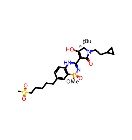 COP1(=O)N=C(C2=C(O)[C@H](C(C)(C)C)N(CCC3CC3)C2=O)Nc2ccc(CCCCCS(C)(=O)=O)cc21